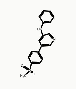 CS(=O)(=O)c1ccc(-c2cncc(Nc3ccccc3)c2)cc1